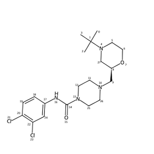 CC(C)(C)N1CCO[C@@H](CN2CCN(C(=O)Nc3ccc(Cl)c(Cl)c3)CC2)C1